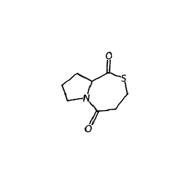 O=C1SCCC(=O)N2CCCC12